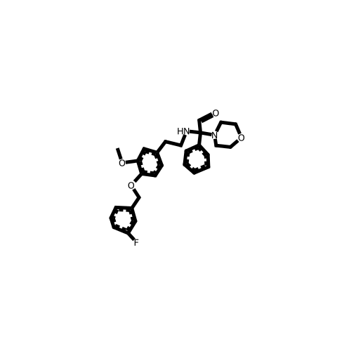 COc1cc(CCNC(C=O)(c2ccccc2)N2CCOCC2)ccc1OCc1cccc(F)c1